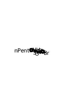 CCCCCc1ccc(NC(=S)NC(=O)c2cc3cc(Br)ccc3o2)cc1